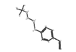 C=Cc1ccc(SOOOC(C)(C)C)cc1